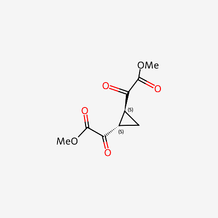 COC(=O)C(=O)[C@H]1C[C@@H]1C(=O)C(=O)OC